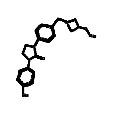 CC(C)(C)c1ccc(N2CCN(c3ccc(CN4CC(OC=O)C4)cc3)C2=O)cc1